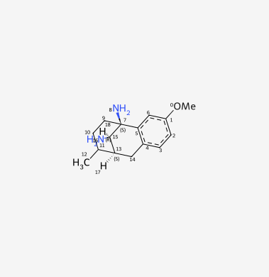 COc1ccc2c(c1)[C@@]1(N)CCC(C)[C@H](C2)[C@H]1N